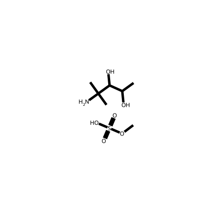 CC(O)C(O)C(C)(C)N.COS(=O)(=O)O